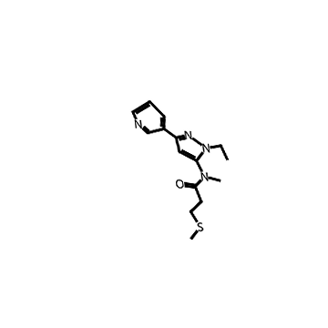 CCn1nc(-c2cccnc2)cc1N(C)C(=O)CCSC